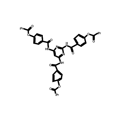 CC(C)C(=O)Oc1ccc(C(=O)Nc2cc(NC(=O)c3ccc(OC(=O)C(C)C)cc3)nc(NC(=O)c3ccc(OC(=O)C(C)C)cc3)n2)cc1